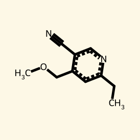 CCc1cc(COC)c(C#N)cn1